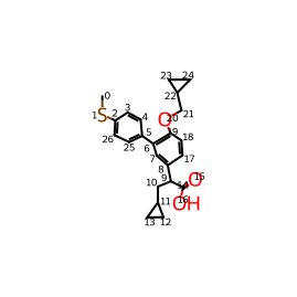 CSc1ccc(-c2cc(C(CC3CC3)C(=O)O)ccc2OCC2CC2)cc1